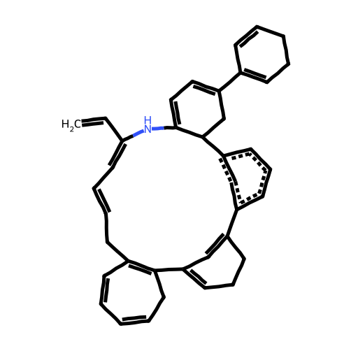 C=C/C1=C\C=C\CC2=C(CC=CC=C2)C2=CCCC(=C2)c2cccc(c2)C2CC(C3=CCCC=C3)=CC=C2N1